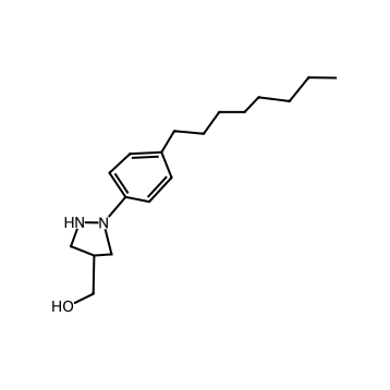 CCCCCCCCc1ccc(N2CC(CO)CN2)cc1